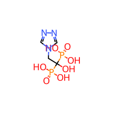 O=P(O)(O)C(O)(Cn1cnnc1)P(=O)(O)O